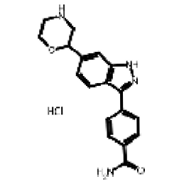 Cl.NC(=O)c1ccc(-c2n[nH]c3cc(C4CNCCO4)ccc23)cc1